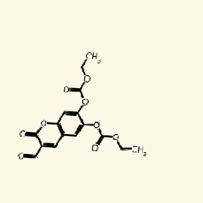 CCOC(=O)Oc1cc2cc([C]=O)c(=O)oc2cc1OC(=O)OCC